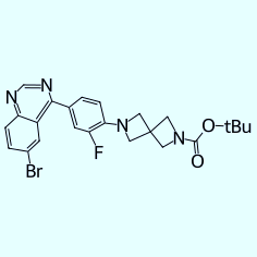 CC(C)(C)OC(=O)N1CC2(C1)CN(c1ccc(-c3ncnc4ccc(Br)cc34)cc1F)C2